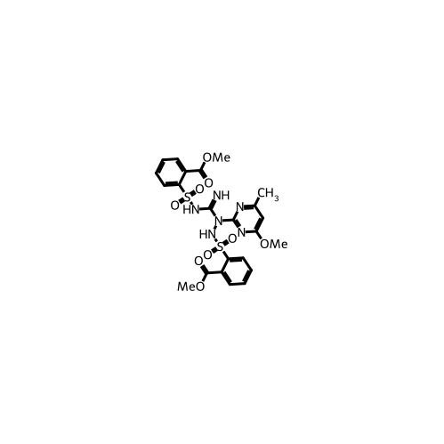 COC(=O)c1ccccc1S(=O)(=O)NC(=N)N(NS(=O)(=O)c1ccccc1C(=O)OC)c1nc(C)cc(OC)n1